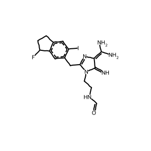 N=C1C(=C(N)N)N=C(Cc2cc3c(cc2I)CCC3F)N1CCNC=O